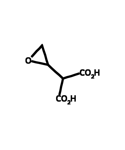 O=C(O)C(C(=O)O)C1CO1